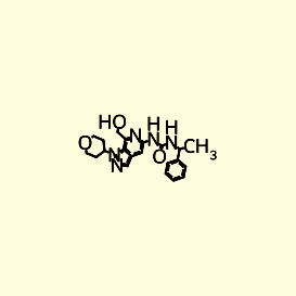 CC(NC(=O)Nc1cc2cnn(C3CCOCC3)c2c(CO)n1)c1ccccc1